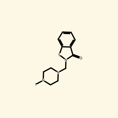 O=c1c2ccccc2sn1CN1CCN(I)CC1